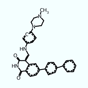 CN1CCN(c2ccc(N/C=C3\C(=O)NC(=O)c4ccc(-c5ccc(-c6ccccc6)cc5)cc43)cc2)CC1